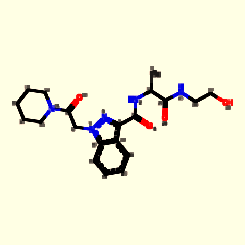 CC(C)(C)C(NC(=O)c1nn(CC(=O)N2CCCCC2)c2ccccc12)C(=O)NCCO